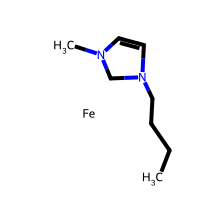 CCCCN1C=CN(C)C1.[Fe]